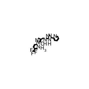 Cc1c(CNc2nnc(-c3ccccn3)[nH]2)cnn1-c1ccc(C(F)(F)F)cn1